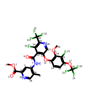 COC(=O)c1cc(NC(=O)c2c(Oc3ccc(OC(F)(F)F)c(F)c3OC)cnc(C(F)(F)F)c2F)c(C)cn1